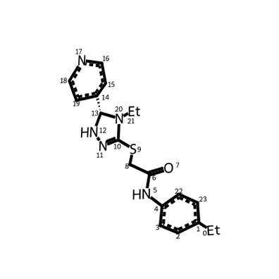 CCc1ccc(NC(=O)CSC2=NN[C@H](c3ccncc3)N2CC)cc1